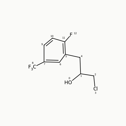 OC(CCl)Cc1cc(C(F)(F)F)ccc1F